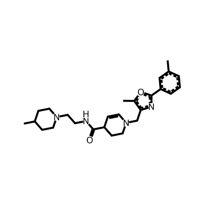 Cc1cccc(-c2nc(CN3C=CC(C(=O)NCCN4CCC(C)CC4)CC3)c(C)o2)c1